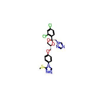 CSc1nncn1-c1ccc(OC[C@@H]2CO[C@@](Cn3cncn3)(c3ccc(Cl)cc3Cl)O2)cc1